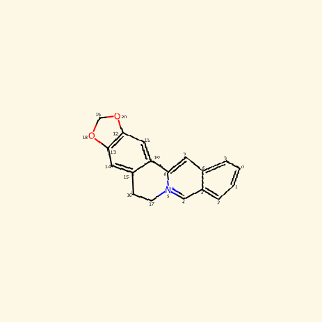 c1ccc2c[n+]3c(cc2c1)-c1cc2c(cc1CC3)OCO2